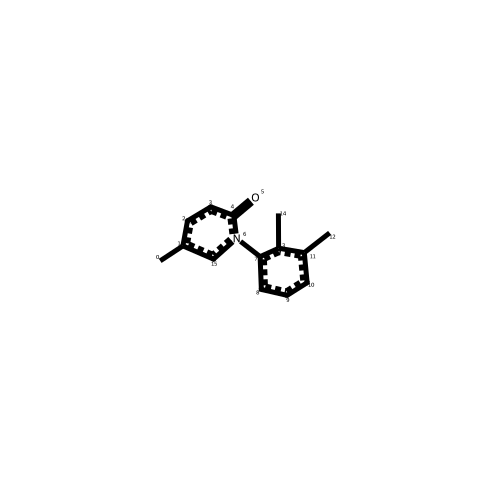 Cc1ccc(=O)n(-c2cccc(C)c2C)c1